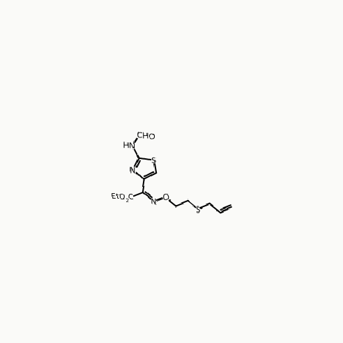 C=CCSCCO/N=C(/C(=O)OCC)c1csc(NC=O)n1